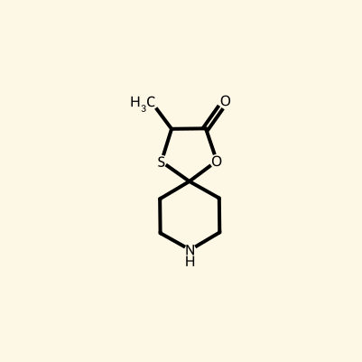 CC1SC2(CCNCC2)OC1=O